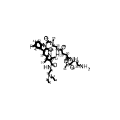 CCN(CC)CCNC(=O)c1c(C)[nH]c(/C=C2\C(=O)N(C(=O)N(C)CCNC(=O)CCC(=O)N[C@H](CCN)C(=O)PC)c3ccc(F)cc32)c1C